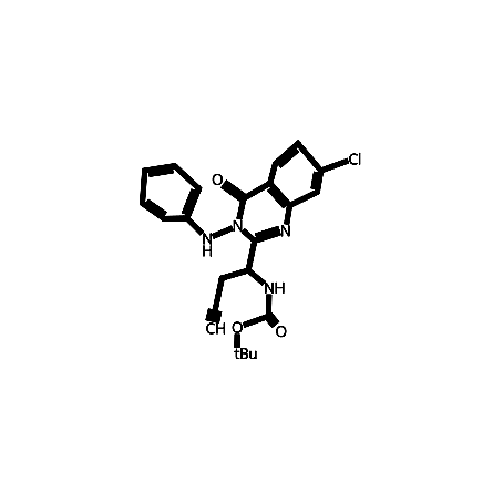 C#CCC(NC(=O)OC(C)(C)C)c1nc2cc(Cl)ccc2c(=O)n1Nc1ccccc1